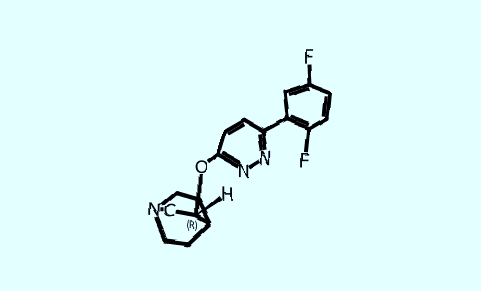 Fc1ccc(F)c(-c2ccc(O[C@H]3CN4CCC3CC4)nn2)c1